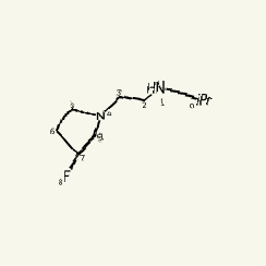 CC(C)NCCN1CC[C@H](F)C1